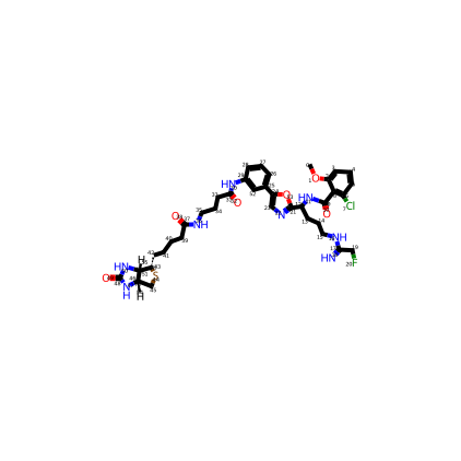 COc1cccc(Cl)c1C(=O)NC(CCCNC(=N)CF)c1ncc(-c2cccc(NC(=O)CCCNC(=O)CCCC[C@@H]3SC[C@@H]4NC(=O)N[C@@H]43)c2)o1